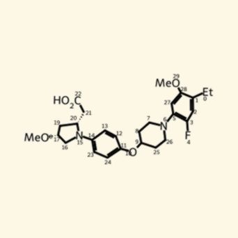 CCc1cc(F)c(N2CCC(Oc3ccc(N4C[C@H](OC)C[C@@H]4CC(=O)O)cc3)CC2)cc1OC